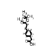 CC(C)(C)OC(=O)CCc1ccc(CC(=O)O)cc1